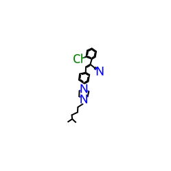 CC(C)CCCCN1CCN(c2ccc(/C=C(\C#N)c3ccccc3Cl)cc2)CC1